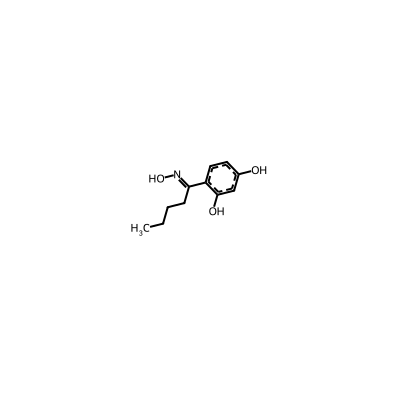 CCCC/C(=N\O)c1ccc(O)cc1O